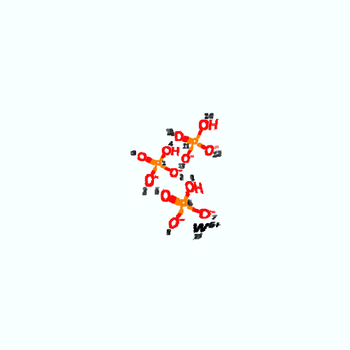 O=P([O-])([O-])O.O=P([O-])([O-])O.O=P([O-])([O-])O.[W+6]